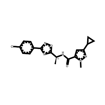 C[C@H](NC(=O)c1cc(C2CC2)nn1C)c1nc(-c2ccc(Cl)cc2)no1